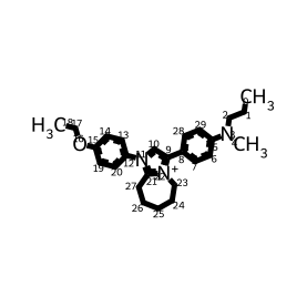 CCCN(C)c1ccc(-c2cn(-c3ccc(OCC)cc3)c3[n+]2CCCCC3)cc1